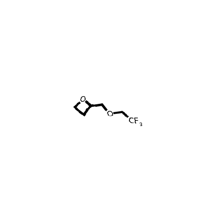 FC(F)(F)COCC1CCO1